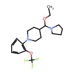 CCOC(C1CCN(c2[c]cccc2OC(F)(F)F)CC1)N1CCCC1